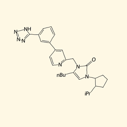 CCCCc1cn(C2CCCC2C(C)C)c(=O)n1Cc1cc(-c2cccc(-c3nnn[nH]3)c2)ccn1